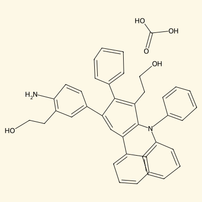 Nc1ccc(-c2cc(-c3ccccc3)c(N(c3ccccc3)c3ccccc3)c(CCO)c2-c2ccccc2)cc1CCO.O=C(O)O